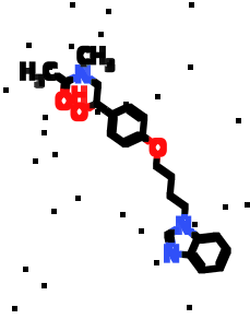 CC(=O)N(C)C[C@H](O)c1ccc(OCCCCn2cnc3ccccc32)cc1